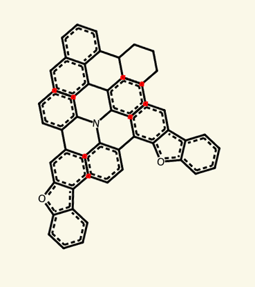 c1ccc(N(c2ccccc2-c2cccc3c2oc2ccccc23)c2ccccc2-c2cccc3cccc(C4CCCCC4)c23)c(-c2ccc3c(c2)oc2ccccc23)c1